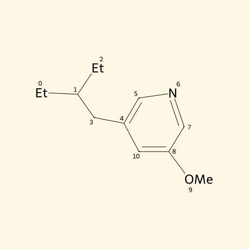 CCC(CC)Cc1cncc(OC)c1